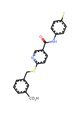 O=C(O)c1cccc(CSc2ccc(C(=O)Nc3ccc(F)cc3)cn2)c1